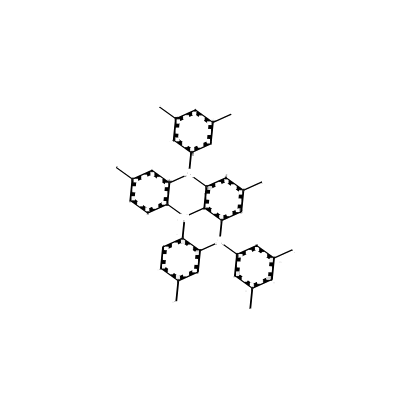 Cc1cc(C)cc(N2c3cc(C)ccc3B3c4ccc(C)cc4N(c4cc(C)cc(C)c4)c4cc(C)cc2c43)c1